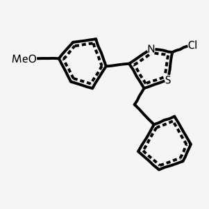 COc1ccc(-c2nc(Cl)sc2Cc2ccccc2)cc1